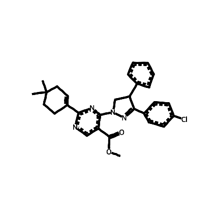 COC(=O)c1cnc(C2=CCC(C)(C)CC2)nc1N1CC(c2ccccc2)C(c2ccc(Cl)cc2)=N1